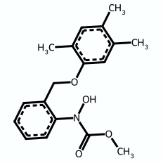 COC(=O)N(O)c1ccccc1COc1cc(C)c(C)cc1C